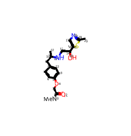 CNC(=O)COc1ccc(CC(C)NCC(O)c2cnc(C)s2)cc1